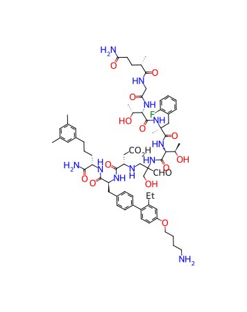 CCc1cc(OCCCCN)ccc1-c1ccc(C[C@H](NC(=O)[C@H](CC(=O)O)NCC(C=O)(CO)NC(=O)[C@@H](NC(=O)[C@](C)(Cc2ccccc2F)NC(=O)[C@@H](NC(=O)CNC(=O)[C@@H](C)CCC(N)=O)[C@@H](C)O)[C@@H](C)O)C(=O)N[C@@H](CCCc2cc(C)cc(C)c2)C(N)=O)cc1